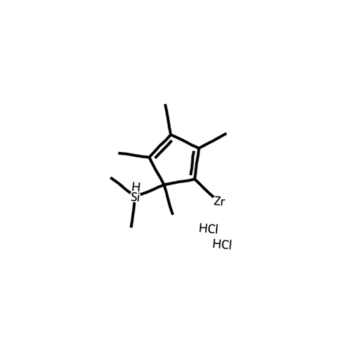 CC1=C(C)C(C)([SiH](C)C)[C]([Zr])=C1C.Cl.Cl